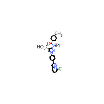 CC(C)N(c1nn(-c2ccc(-c3cc4cccc(Cl)n4n3)cc2)cc1C(=O)O)C(=O)[C@H]1CC[C@H](C)CC1